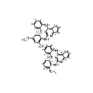 Cc1cc(F)ccc1Nc1nc(Nc2ccccc2C)c2sccc2n1.Cc1ccccc1Nc1nc(Nc2ccccc2C)c2sccc2n1.Cl